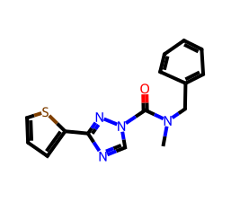 CN(Cc1ccccc1)C(=O)n1cnc(-c2cccs2)n1